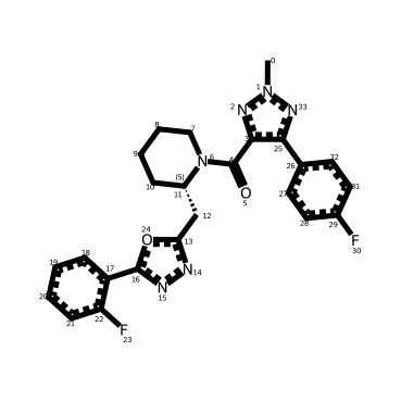 Cn1nc(C(=O)N2CCCC[C@H]2Cc2nnc(-c3ccccc3F)o2)c(-c2ccc(F)cc2)n1